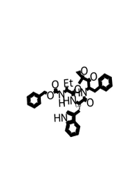 CCC(NC(=O)OCc1ccccc1)C(=O)N[C@@H](Cc1c[nH]c2ccccc12)C(=O)NC(Cc1ccccc1)C(=O)C1(C)CO1